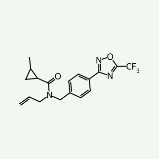 C=CCN(Cc1ccc(-c2noc(C(F)(F)F)n2)cc1)C(=O)C1CC1C